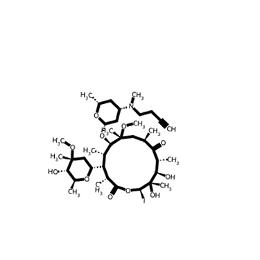 C#CCCN(C)[C@@H]1C[C@H](O[C@@H]2[C@@H](C)C([C@H]3C[C@@](C)(OC)[C@@H](O)[C@H](C)O3)[C@@H](C)C(=O)O[C@H](I)[C@@](C)(O)[C@H](O)[C@@H](C)C(=O)[C@H](C)C[C@@]2(C)OC)O[C@H](C)C1